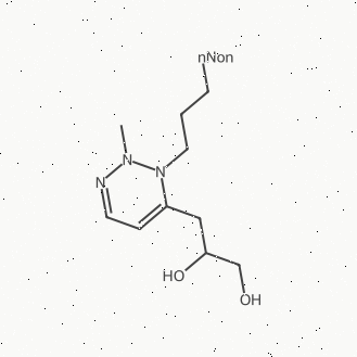 CCCCCCCCCCCCN1C(CC(O)CO)=CC=NN1C